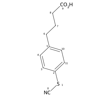 N#CSc1ccc(CCCC(=O)O)cc1